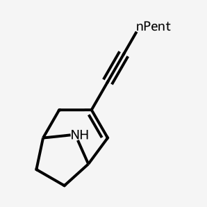 CCCCCC#CC1=CC2CCC(C1)N2